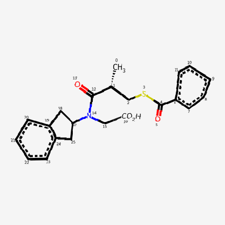 C[C@H](CSC(=O)c1ccccc1)C(=O)N(CC(=O)O)C1Cc2ccccc2C1